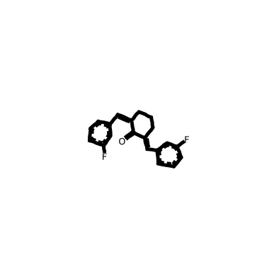 O=C1/C(=C\c2cccc(F)c2)CCC/C1=C\c1cccc(F)c1